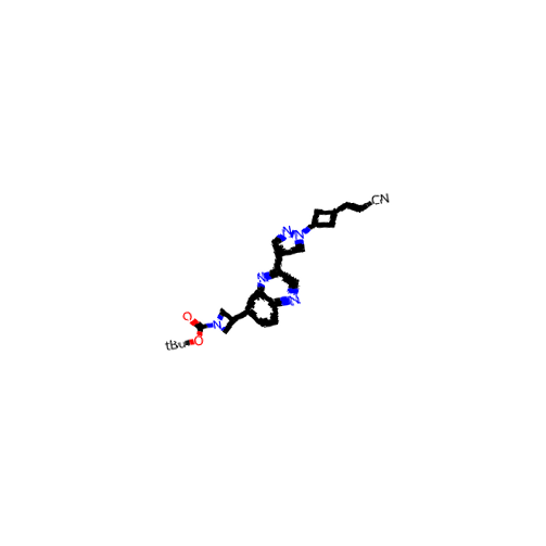 CC(C)(C)OC(=O)N1CC(c2ccc3ncc(-c4cnn(C5CC(C=CC#N)C5)c4)nc3c2)C1